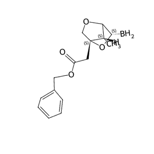 B[C@@H]1O[C@]2(CC(=O)OCc3ccccc3)COC1[C@@H]2C